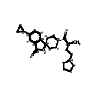 CN(CCN1CCCC1)C(=O)[C@H]1CC[C@@]2(CC1)OC(=O)c1cc(C3CC3)ccc12